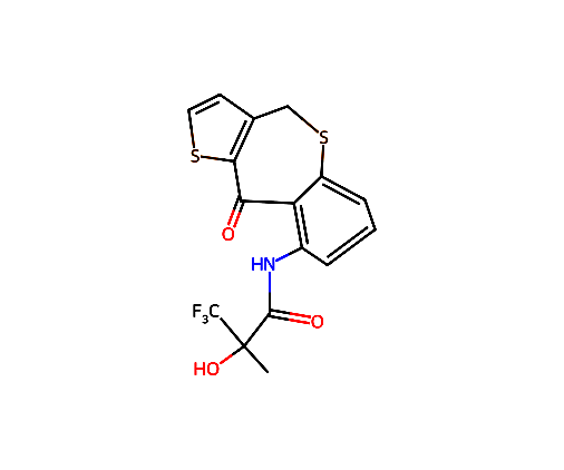 CC(O)(C(=O)Nc1cccc2c1C(=O)c1sccc1CS2)C(F)(F)F